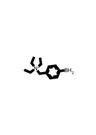 Bc1ccc(C[N+](C[CH2])(CC)CC)cc1